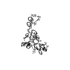 O=C1Nc2cc(OC3CN(C(=O)N4N=CC[C@H]4c4cc(F)cc(F)c4)C3)c(F)cc2OC1CCOC1CCCCO1